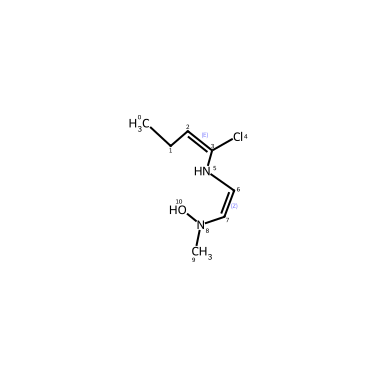 CC/C=C(/Cl)N/C=C\N(C)O